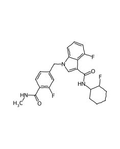 CNC(=O)c1ccc(Cn2cc(C(=O)NC3CCCCC3F)c3c(F)cccc32)cc1F